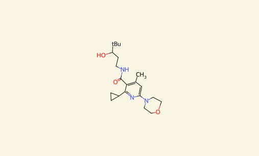 Cc1cc(N2CCOCC2)nc(C2CC2)c1C(=O)NCCC(O)C(C)(C)C